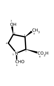 C[C@@H]1[C@H](O)CN(C=O)[C@@H]1C(=O)O